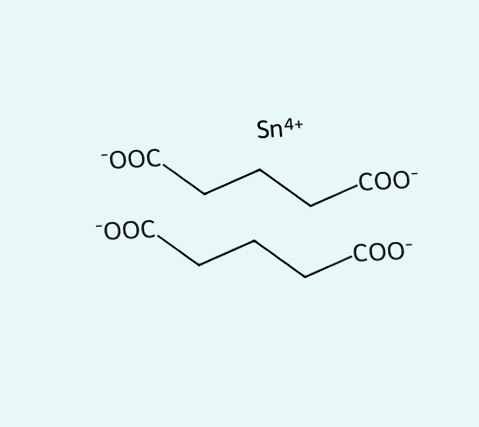 O=C([O-])CCCC(=O)[O-].O=C([O-])CCCC(=O)[O-].[Sn+4]